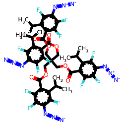 CC(C)c1c(F)c(N=[N+]=[N-])c(F)c(F)c1C(=O)OCC(COC(=O)c1c(F)c(F)c(N=[N+]=[N-])c(F)c1C(C)C)(COC(=O)c1c(F)c(F)c(N=[N+]=[N-])c(F)c1C(C)C)COC(=O)c1c(F)c(F)c(N=[N+]=[N-])c(F)c1C(C)C